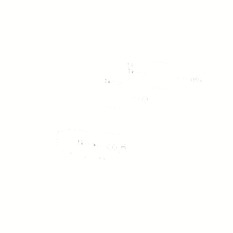 CC(C)(C)C1CCC(Nc2ncc3cc(C(=O)N4C5CCC4CC(C(=O)O)C5)ccc3c2Cl)CC1